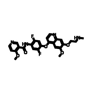 CNCCOc1cc2nccc(Oc3cc(F)c(NC(=O)c4cnccc4OC)cc3F)c2cc1OC